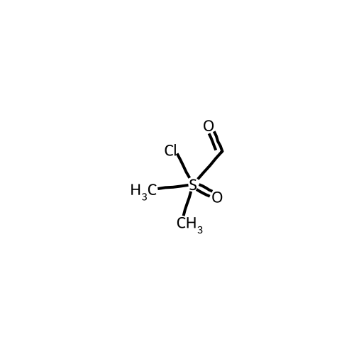 CS(C)(=O)(Cl)C=O